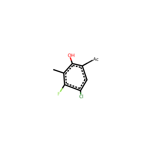 CC(=O)c1cc(Cl)c(F)c(C)c1O